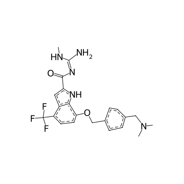 CNC(N)=NC(=O)c1cc2c(C(F)(F)F)ccc(OCc3ccc(CN(C)C)cc3)c2[nH]1